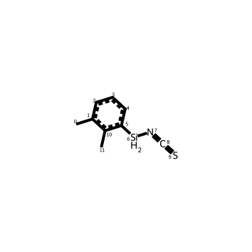 Cc1cccc([SiH2]N=C=S)c1C